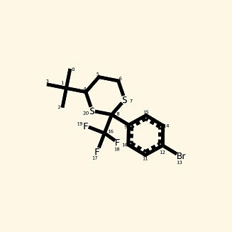 CC(C)(C)C1CCSC(c2ccc(Br)cc2)(C(F)(F)F)S1